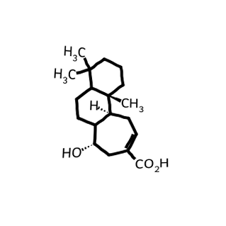 CC1(C)CCC[C@@]2(C)C1CCC1[C@@H](O)CC(C(=O)O)=CC[C@@H]12